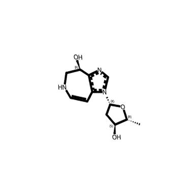 C[C@H]1O[C@@H](n2cnc3c2C=CNC[C@H]3O)C[C@@H]1O